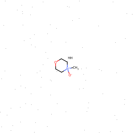 C[N+]1([O-])CCOCC1.[HH]